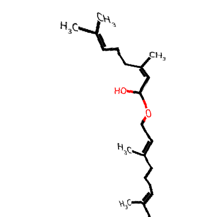 CC(C)=CCCC(C)=CC(O)OC/C=C(\C)CCC=C(C)C